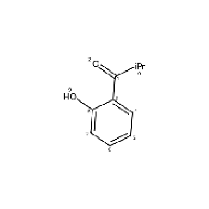 CC(C)C(=O)c1ccccc1O